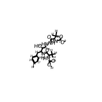 COC(=O)NC(C(=O)NNCC(O)C(Cc1ccc(I)cc1)NC(=O)C(NC(=O)OC)C(C)(C)C)C(C)(C)C